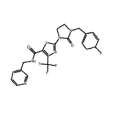 O=C(NCc1cccnc1)c1sc(N2CCN(CC3=CCC(F)C=C3)C2=O)nc1C(F)(F)F